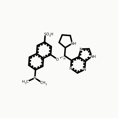 CN(C)c1ccc2cc(S(=O)(=O)O)cc(O[C@@H](c3ncnc4[nH]cnc34)C3CCCN3)c2c1